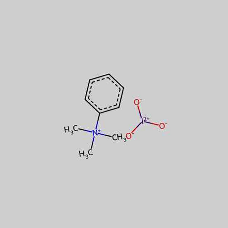 C[N+](C)(C)c1ccccc1.[O-][I+2]([O-])[O-]